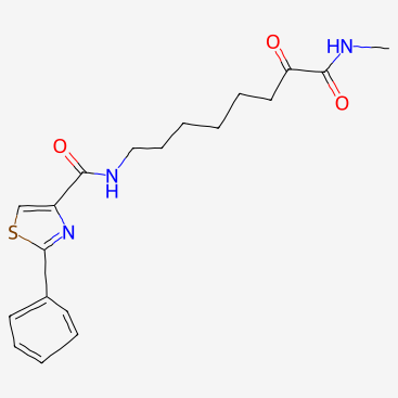 CNC(=O)C(=O)CCCCCCNC(=O)c1csc(-c2ccccc2)n1